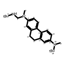 CN(CNC(C)(C)C)c1ccc2c(c1)CCc1cc(N(C)C(C)(C)C)ccc1-2